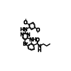 CCCNC(=O)c1ccccc1Nc1nc(Nc2cc(OC)ccc2OC)ncc1Br